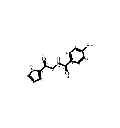 O=C(NCC(=O)c1cccs1)c1ccc(F)cc1